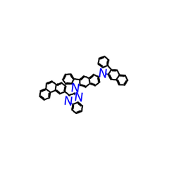 c1ccc2cc3c(cc2c1)c1ccccc1n3-c1ccc2cc3c(cc2c1)c1ccccc1n3-c1nc2ccccc2nc1-c1ccc2ccc3ccccc3c2c1